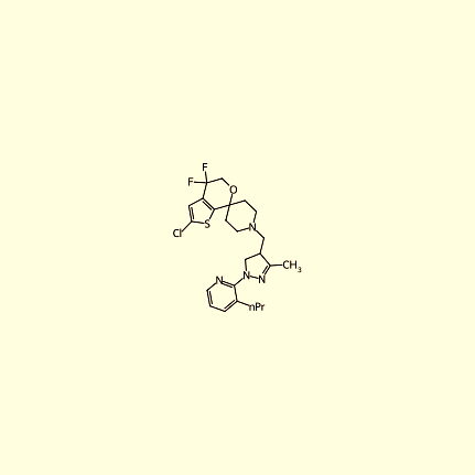 CCCc1cccnc1N1CC(CN2CCC3(CC2)OCC(F)(F)c2cc(Cl)sc23)C(C)=N1